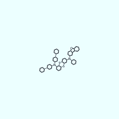 c1ccc(-c2ccc(N(c3ccc(-c4ccccc4)cc3)c3cccc4c3Sc3ccc(N(c5ccccc5)c5ccc6oc7ccccc7c6c5)cc3S4)cc2)cc1